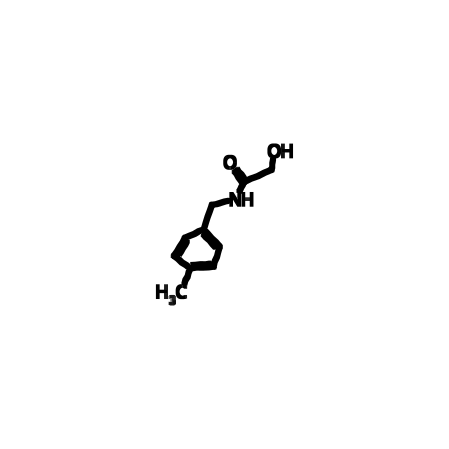 Cc1ccc(CNC(=O)CO)cc1